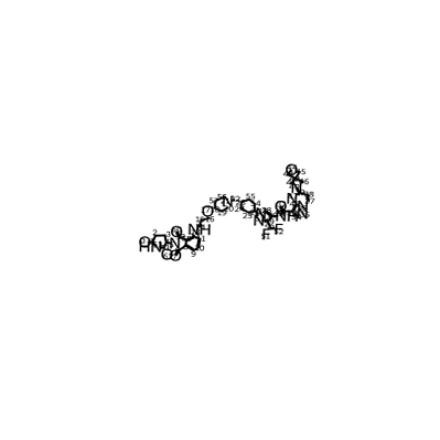 O=C1CCC(N2C(=O)c3cccc(NCCCOC4CCN(C[C@H]5CC[C@H](n6cc(NC(=O)c7cnn8ccc(N9CC%10(COC%10)C9)nc78)c(C(F)F)n6)CC5)CC4)c3C2=O)C(=O)N1